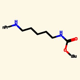 CCCNCCCCCNC(=O)OC(C)(C)C